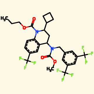 CCCOC(=O)N1c2ccc(C(F)(F)F)cc2C(N(Cc2cc(C(F)(F)F)cc(C(F)(F)F)c2)C(=O)OC)CC1C1CCC1